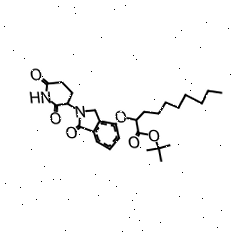 CCCCCCCCC(Oc1cccc2c1CN(C1CCC(=O)NC1=O)C2=O)C(=O)OC(C)(C)C